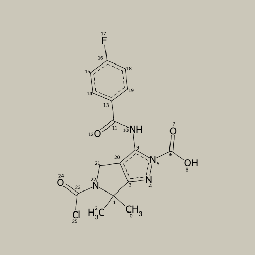 CC1(C)c2nn(C(=O)O)c(NC(=O)c3ccc(F)cc3)c2CN1C(=O)Cl